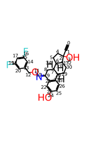 C#C[C@@]1(O)CC[C@H]2[C@@H]3CC(=NOCc4cc(F)cc(F)c4)c4cc(O)ccc4[C@H]3CC[C@@]21C